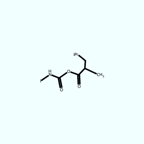 CC(C)CC(C)C(=O)OC(=O)NI